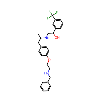 CC(Cc1ccc(OCCNCc2ccccc2)cc1)NCC(O)c1cccc(C(F)(F)F)c1